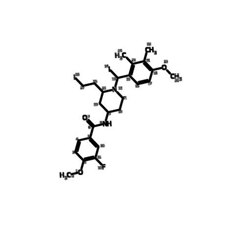 COc1ccc(C(=O)NC2CCN(C(I)c3ccc(OC)c(C)c3C)C(CCI)C2)cc1F